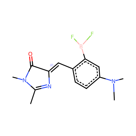 CC1=N/C(=C\c2ccc(N(C)C)cc2B(F)F)C(=O)N1C